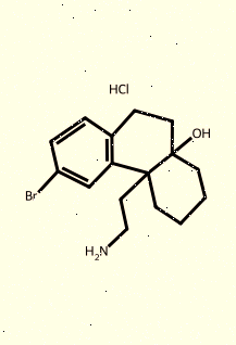 Cl.NCCC12CCCCC1(O)CCc1ccc(Br)cc12